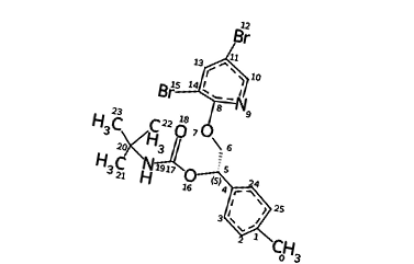 Cc1ccc([C@@H](COc2ncc(Br)cc2Br)OC(=O)NC(C)(C)C)cc1